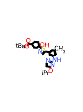 Cc1cc(Nc2nccc(OC(C)C)n2)cc(-c2cnc(C3(O)CCC(C(=O)OC(C)(C)C)CC3)s2)c1